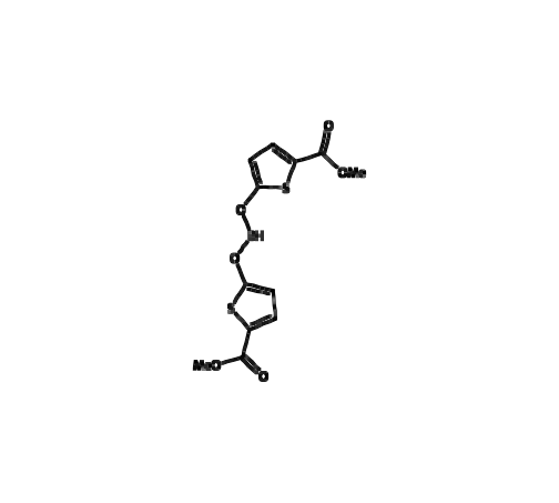 COC(=O)c1ccc(OBOc2ccc(C(=O)OC)s2)s1